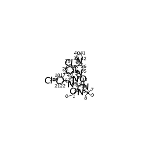 CCOc1nc(C(C)(C)C)ncc1C1=N[C@@H](c2ccc(Cl)cc2)[C@@H](c2ccc(Cl)cc2)N1C(=O)N1CCC(N2CCCC2)CC1